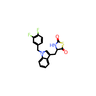 O=C1NC(Cc2cn(Cc3ccc(F)c(F)c3)c3ccccc23)C(=O)S1